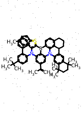 C=C(C)c1cc2c3c(c1)N(c1ccc(C(C)(C)C)cc1-c1ccccc1)c1c(sc4ccc(C)cc14)B3c1ccc3c4c1N2c1cc2c(cc1C4CCC3)C(C)(C)CCC2(C)C